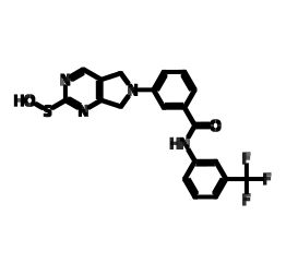 O=C(Nc1cccc(C(F)(F)F)c1)c1cccc(N2Cc3cnc(SO)nc3C2)c1